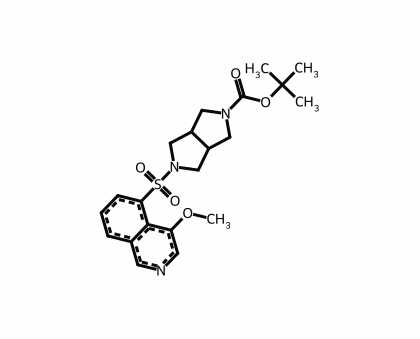 COc1cncc2cccc(S(=O)(=O)N3CC4CN(C(=O)OC(C)(C)C)CC4C3)c12